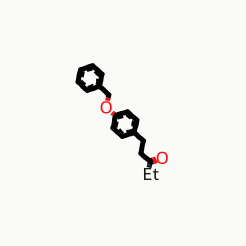 CCC(=O)CCc1ccc(OCc2ccccc2)cc1